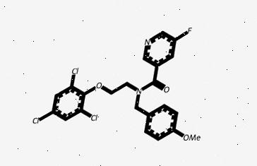 COc1ccc(CN(CCOc2c(Cl)cc(Cl)cc2Cl)C(=O)c2cncc(F)c2)cc1